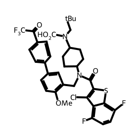 COc1ccc(-c2ccc(C(=O)C(F)(F)F)cc2)cc1CN(C(=O)c1sc2c(F)ccc(F)c2c1Cl)C1CCC(N(CC(C)(C)C)C(=O)O)CC1